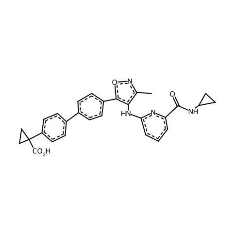 Cc1noc(-c2ccc(-c3ccc(C4(C(=O)O)CC4)cc3)cc2)c1Nc1cccc(C(=O)NC2CC2)n1